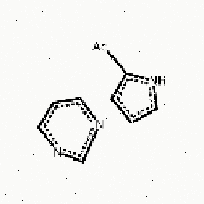 CC(=O)c1ccc[nH]1.c1cncnc1